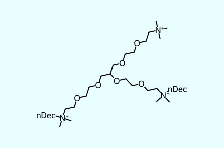 CCCCCCCCCC[N+](C)(C)CCOCCOCC(COCCOCC[N+](C)(C)C)OCCOCC[N+](C)(C)CCCCCCCCCC